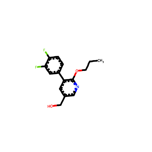 CCCOc1ncc(CO)cc1-c1ccc(F)c(F)c1